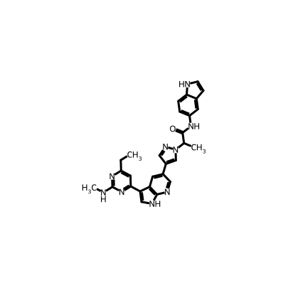 CCc1cc(-c2c[nH]c3ncc(-c4cnn(C(C)C(=O)Nc5ccc6[nH]ccc6c5)c4)cc23)nc(NC)n1